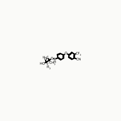 CC(C)(O)C(C)(C)OBc1ccc(Oc2ccc(C#N)c(C(F)(F)F)c2)cc1